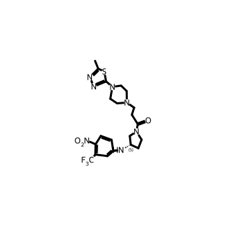 Cc1nnc(N2CCN(CCC(=O)N3CC[C@H](Nc4ccc([N+](=O)[O-])c(C(F)(F)F)c4)C3)CC2)s1